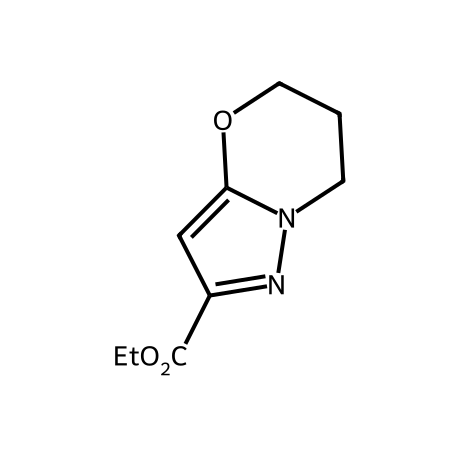 CCOC(=O)c1cc2n(n1)CCCO2